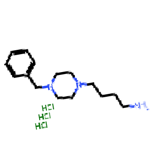 Cl.Cl.Cl.NCCCCN1CCN(Cc2ccccc2)CC1